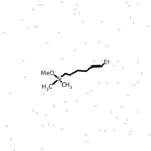 CCC=CCCCC[Si](C)(C)OC